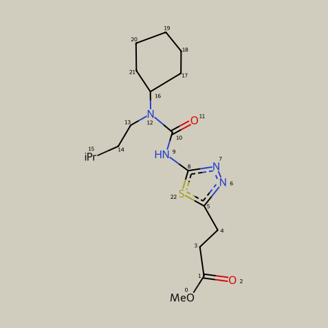 COC(=O)CCc1nnc(NC(=O)N(CCC(C)C)C2CCCCC2)s1